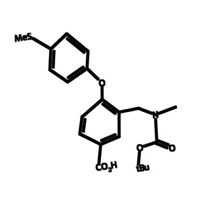 CSc1ccc(Oc2ccc(C(=O)O)cc2CN(C)C(=O)OC(C)(C)C)cc1